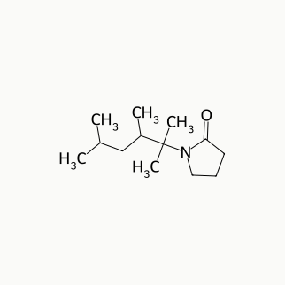 CC(C)CC(C)C(C)(C)N1CCCC1=O